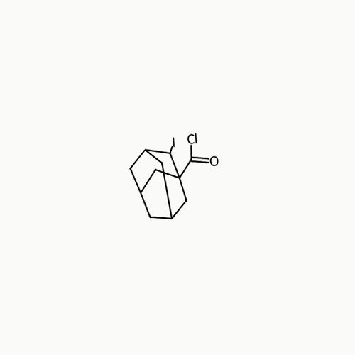 O=C(Cl)C12CC3CC(CC(C3)C1I)C2